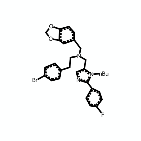 CCCCn1c(CN(CCc2ccc(Br)cc2)Cc2ccc3c(c2)OCO3)cnc1-c1ccc(F)cc1